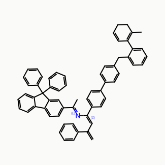 C=C(/C=C(\N=C(/C)c1ccc2c(c1)C(c1ccccc1)(c1ccccc1)c1ccccc1-2)c1ccc(-c2ccc(Cc3ccccc3C3=C(C)CCC=C3)cc2)cc1)c1ccccc1